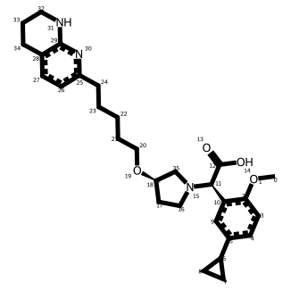 COc1ccc(C2CC2)cc1[C@H](C(=O)O)N1CC[C@@H](OCCCCCc2ccc3c(n2)NCCC3)C1